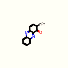 CCCC1C=Cc2nc3ccccc3nc2C1=O